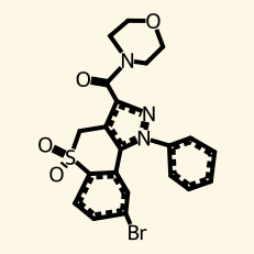 O=C(c1nn(-c2ccccc2)c2c1CS(=O)(=O)c1ccc(Br)cc1-2)N1CCOCC1